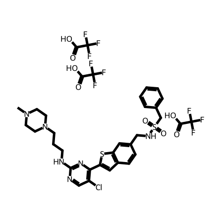 CN1CCN(CCCNc2ncc(Cl)c(-c3cc4ccc(CNS(=O)(=O)Cc5ccccc5)cc4s3)n2)CC1.O=C(O)C(F)(F)F.O=C(O)C(F)(F)F.O=C(O)C(F)(F)F